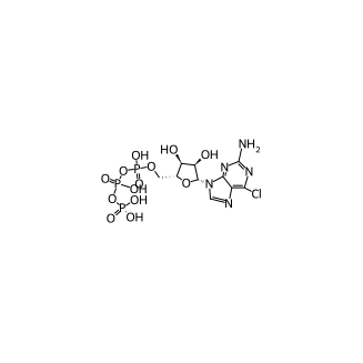 Nc1nc(Cl)c2ncn([C@@H]3O[C@H](COP(=O)(O)OP(=O)(O)OP(=O)(O)O)[C@@H](O)[C@H]3O)c2n1